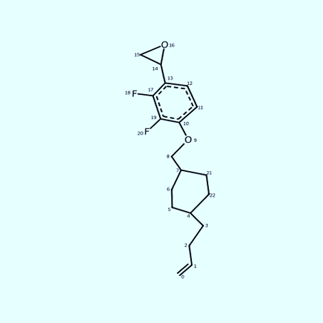 C=CCCC1CCC(COc2ccc(C3CO3)c(F)c2F)CC1